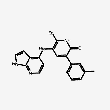 CCc1[nH]c(=O)c(-c2cccc(C)c2)cc1Nc1ccnc2[nH]ccc12